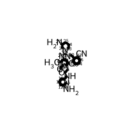 Cn1c(=O)n(CC(=O)Nc2cccc(N)n2)c(=O)c2c1nc(N1CCC[C@@H](N)C1)n2Cc1ccccc1C#N